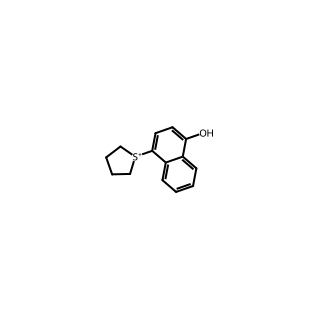 Oc1ccc([S+]2CCCC2)c2ccccc12